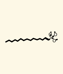 CCCCCCCCCCCCCC=C[Si](OC)(OC)OC